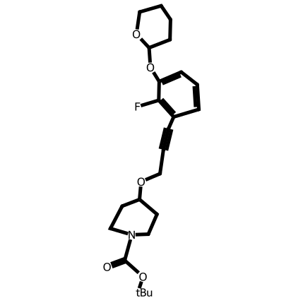 CC(C)(C)OC(=O)N1CCC(OCC#Cc2cccc(OC3CCCCO3)c2F)CC1